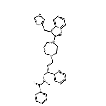 CN(CC(CCN1CCCN(c2nc3ccccc3n2Cc2ccoc2)CC1)c1ccccn1)C(=O)c1ccccc1